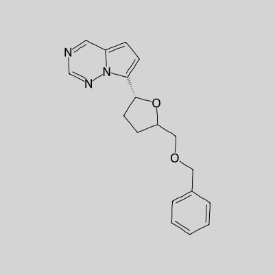 c1ccc(COCC2CC[C@H](c3ccc4cncnn34)O2)cc1